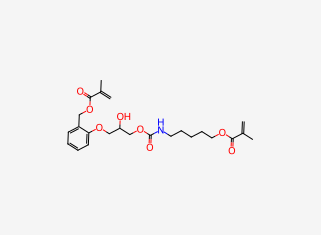 C=C(C)C(=O)OCCCCCNC(=O)OCC(O)COc1ccccc1COC(=O)C(=C)C